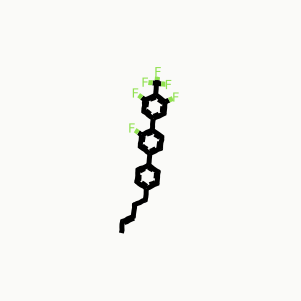 C/C=C/CCc1ccc(-c2ccc(-c3cc(F)c(C(F)(F)F)c(F)c3)c(F)c2)cc1